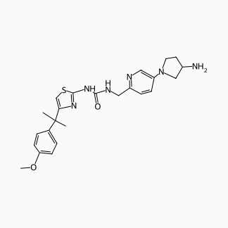 COc1ccc(C(C)(C)c2csc(NC(=O)NCc3ccc(N4CCC(N)C4)cn3)n2)cc1